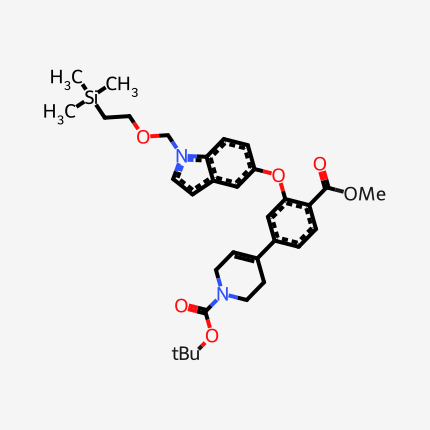 COC(=O)c1ccc(C2=CCN(C(=O)OC(C)(C)C)CC2)cc1Oc1ccc2c(ccn2COCC[Si](C)(C)C)c1